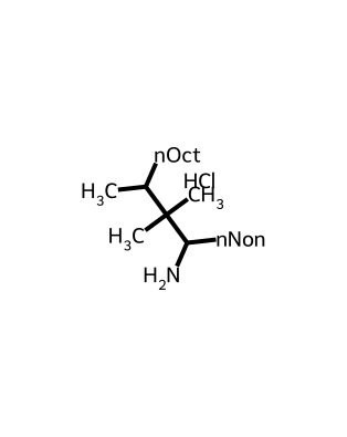 CCCCCCCCCC(N)C(C)(C)C(C)CCCCCCCC.Cl